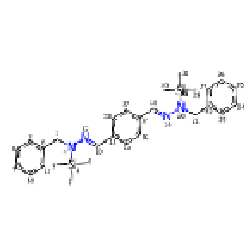 C[Si](C)(C)N(Cc1ccccc1)N=Cc1ccc(C=NN(Cc2ccccc2)[Si](C)(C)C)cc1